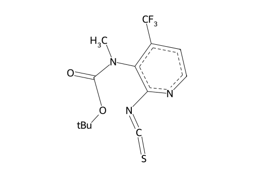 CN(C(=O)OC(C)(C)C)c1c(C(F)(F)F)ccnc1N=C=S